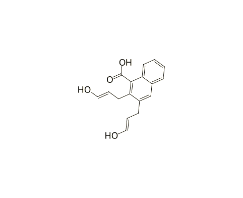 O=C(O)c1c(CC=CO)c(CC=CO)cc2ccccc12